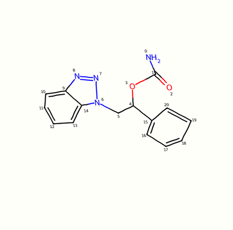 NC(=O)OC(Cn1nnc2ccccc21)c1ccccc1